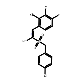 N#C/C(=C/c1ccc(Cl)c(Cl)c1Cl)S(=O)(=O)Cc1ccc(Cl)cc1